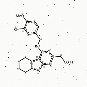 COc1ccc(CNc2nc(CC(=O)O)nc3sc4c(c23)CCCC4)cc1Cl